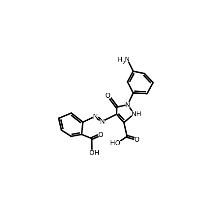 Nc1cccc(-n2[nH]c(C(=O)O)c(N=Nc3ccccc3C(=O)O)c2=O)c1